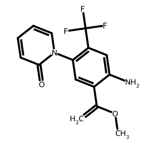 C=C(OC)c1cc(-n2ccccc2=O)c(C(F)(F)F)cc1N